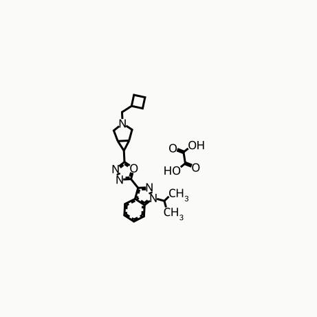 CC(C)n1nc(-c2nnc(C3C4CN(CC5CCC5)CC43)o2)c2ccccc21.O=C(O)C(=O)O